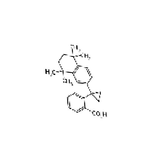 CC1(C)CCC(C)(C)c2cc(C3(c4ccccc4C(=O)O)CC3)ccc21